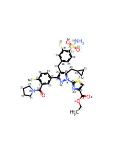 CCOC(=O)c1csc(-n2nc(-c3ccc(F)c(C(=O)N4CCCC4)c3)c(Cc3ccc(S(N)(=O)=O)c(F)c3)c2CC2CC2)n1